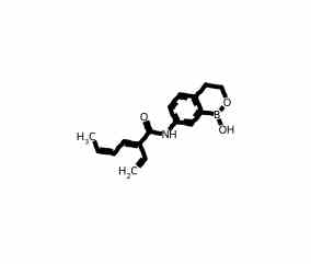 C=C/C(=C\C=C/C)C(=O)Nc1ccc2c(c1)B(O)OCC2